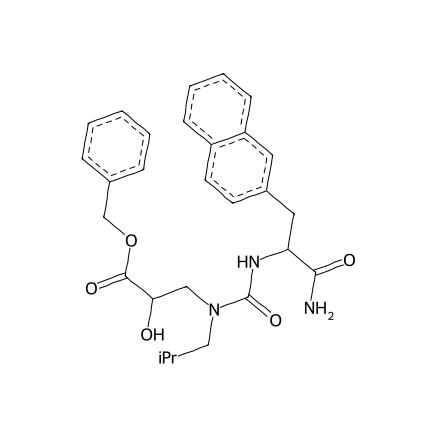 CC(C)CN(CC(O)C(=O)OCc1ccccc1)C(=O)NC(Cc1ccc2ccccc2c1)C(N)=O